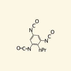 CCCc1c(N=C=O)cc(N=C=O)cc1N=C=O